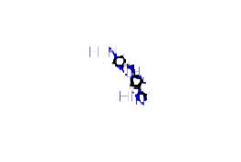 NC1CCC(N)([C@H]2C[C@H]2c2ccc(-c3ccn[nH]3)cc2)CC1